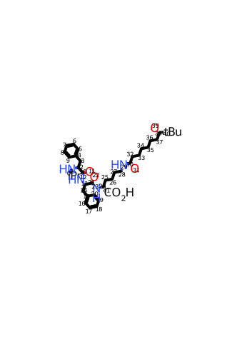 CC(C)NC(Cc1ccccc1)C(=O)NC(Cc1ccccc1)C(=O)NC(CCCCNC(=O)CCCCCCC(=O)C(C)(C)C)C(=O)O